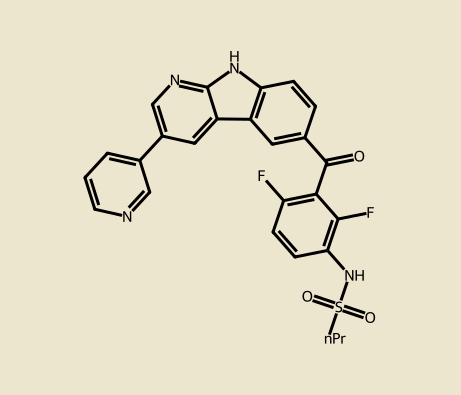 CCCS(=O)(=O)Nc1ccc(F)c(C(=O)c2ccc3[nH]c4ncc(-c5cccnc5)cc4c3c2)c1F